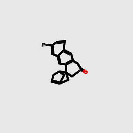 CC(C)c1ccc2cc3c(cc2c1)C1(CC(=O)C3)CC2=CCC1C2